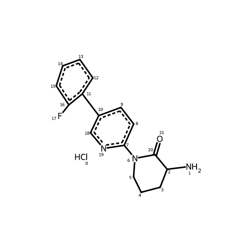 Cl.NC1CCCN(c2ccc(-c3ccccc3F)cn2)C1=O